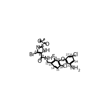 CS(=O)(=O)c1nc(Br)c(C(=O)NCc2ccc(Cl)c(Oc3cc(N)cc(Cl)c3)c2F)[nH]1